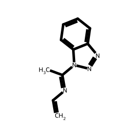 C=C/N=C(\C)n1nnc2ccccc21